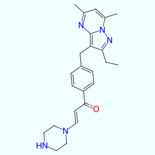 CCc1nn2c(C)cc(C)nc2c1Cc1ccc(C(=O)/C=C/N2CCNCC2)cc1